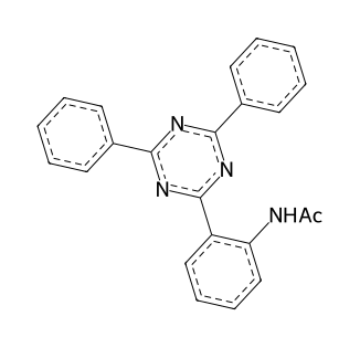 CC(=O)Nc1ccccc1-c1nc(-c2ccccc2)nc(-c2ccccc2)n1